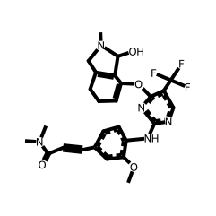 COc1cc(C#CC(=O)N(C)C)ccc1Nc1ncc(C(F)(F)F)c(OC2=CCCC3=C2C(O)N(C)C3)n1